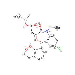 C[C@H](OC(=O)C[C@@H]1O[C@@H](c2cccc3c2OOCC3)c2cc(Cl)ccc2N(CC(C)(C)C)C1=O)C(=O)O